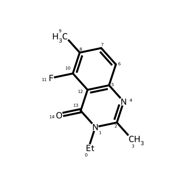 CCn1c(C)nc2ccc(C)c(F)c2c1=O